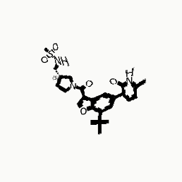 Cc1ccc(-c2cc(C(C)(C)C)c3occ(C(=O)N4CC[C@H](CNS(C)(=O)=O)C4)c3c2)c(=O)[nH]1